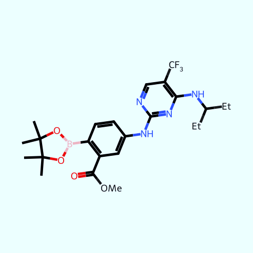 CCC(CC)Nc1nc(Nc2ccc(B3OC(C)(C)C(C)(C)O3)c(C(=O)OC)c2)ncc1C(F)(F)F